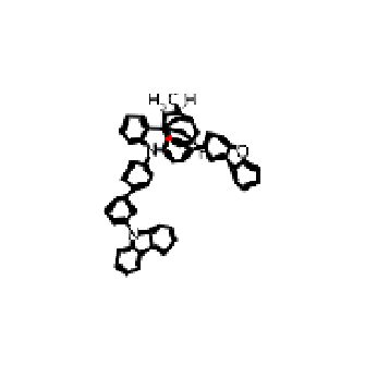 C[C@@H]1CC2(c3ccccc3N(c3ccc(-c4cccc(-n5c6ccccc6c6ccccc65)c4)cc3)c3ccc(-c4ccc5oc6ccccc6c5c4)cc3)C[C@@H]3CC1CCC2C3